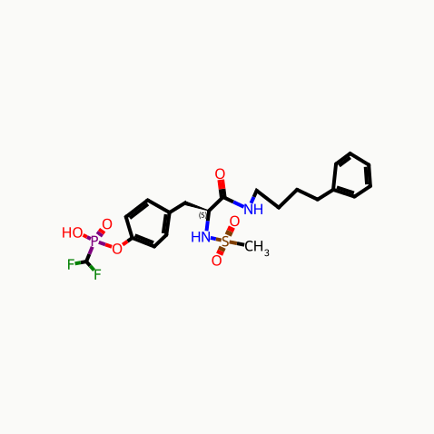 CS(=O)(=O)N[C@@H](Cc1ccc(OP(=O)(O)C(F)F)cc1)C(=O)NCCCCc1ccccc1